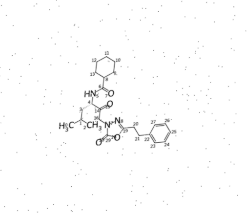 CC(C)C[C@H](NC(=O)C1CCCCC1)C(=O)Cn1nc(CCc2ccccc2)oc1=O